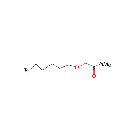 CNC(=O)COCCCCCC(C)C